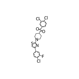 O=S(=O)(c1ccc(Cl)c(Cl)c1)C1CCN(c2nc(-c3ccc(Cl)c(F)c3)cs2)CC1